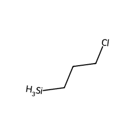 [SiH3]CCCCl